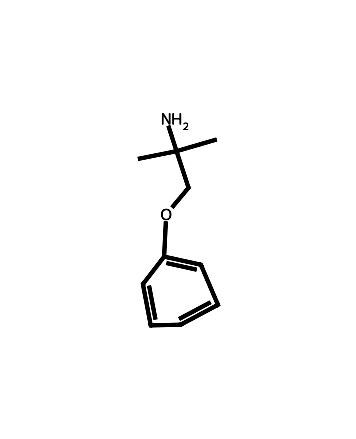 CC(C)(N)COc1ccccc1